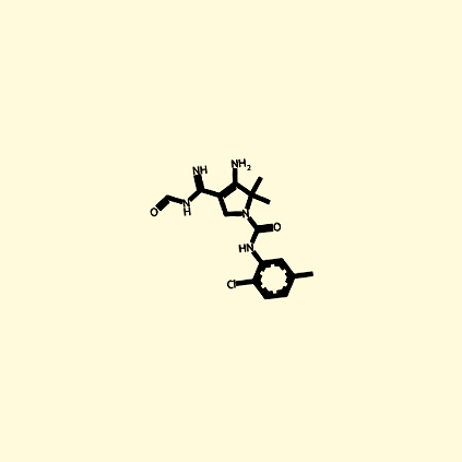 Cc1ccc(Cl)c(NC(=O)N2CC(C(=N)NC=O)=C(N)C2(C)C)c1